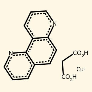 O=C(O)CC(=O)O.[Cu].c1cnc2c(c1)ccc1ncccc12